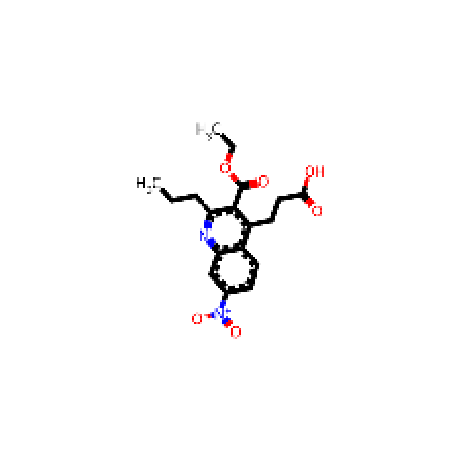 CCCc1nc2cc([N+](=O)[O-])ccc2c(CCC(=O)O)c1C(=O)OCC